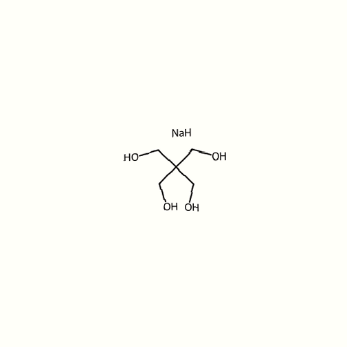 OCC(CO)(CO)CO.[NaH]